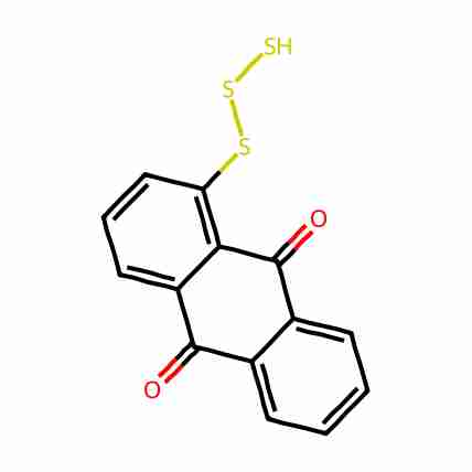 O=C1c2ccccc2C(=O)c2c(SSS)cccc21